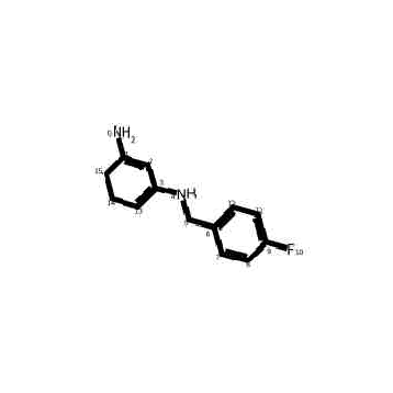 NC1=CC(NCc2ccc(F)cc2)=CC[CH]1